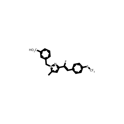 Cc1cc(C(F)=Cc2ccc(SC(F)(F)F)cc2)nn1Cc1cccc(C(=O)O)c1